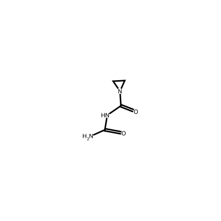 NC(=O)NC(=O)N1CC1